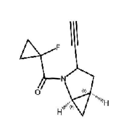 C#CC1C[C@H]2C[C@H]2N1C(=O)C1(F)CC1